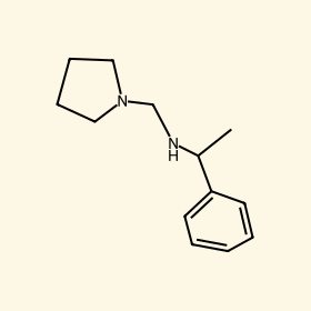 CC(NCN1CCCC1)c1ccccc1